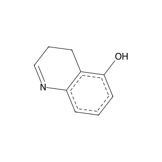 Oc1cccc2c1CCC=N2